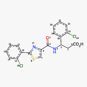 O=C(O)CC(NC(=O)c1csc(-c2ccccc2Cl)n1)c1ccccc1Cl